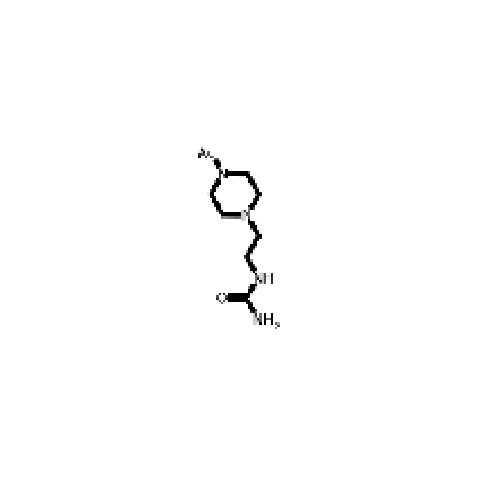 CC(=O)N1CCN(CCNC(N)=O)CC1